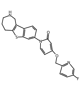 O=c1cc(OCc2ccc(F)cn2)ccn1-c1ccc2c3c(sc2c1)CCCNC3